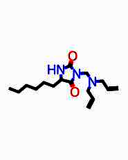 C=CCN(CC=C)CN1C(=O)NC(CCCCCC)C1=O